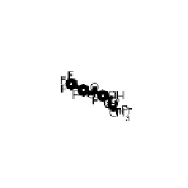 CCCC1(C)COC(O)(c2ccc(C(=O)Oc3ccc(-c4cc(F)c(F)c(F)c4)c(F)c3)c(F)c2)OC1